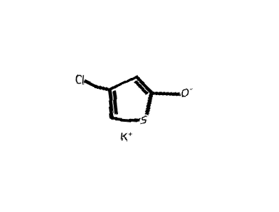 [K+].[O-]c1cc(Cl)cs1